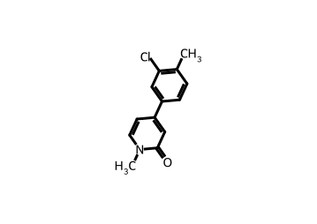 Cc1ccc(-c2ccn(C)c(=O)c2)cc1Cl